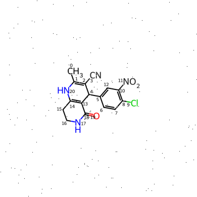 CC1=C(C#N)C(c2ccc(Cl)c([N+](=O)[O-])c2)C2=C(CCNC2=O)N1